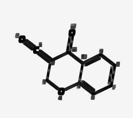 O=C=C1COc2ccccc2C1=O